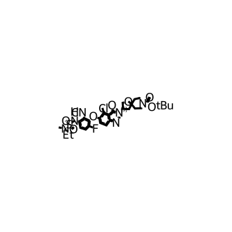 CCN(C)S(=O)(=O)Nc1ccc(F)c(Oc2ccc3ncn([C@@H]4COC5(CCN(C(=O)OC(C)(C)C)CC5)C4)c(=O)c3c2Cl)c1C#N